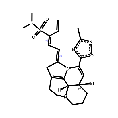 C=C/C(=C\C=C1/CC2=C3[C@H]4N(CCC[C@@]4(CC)C=C(c4nc(C)no4)N31)CC2)S(=O)(=O)N(C)C